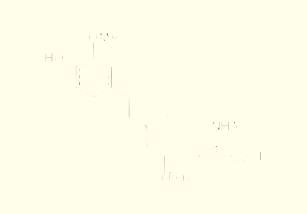 CCCCCC(CC(=O)CCc1ccc(O)c(OC)c1)SC[C@H](NC(C)=O)C(=O)O